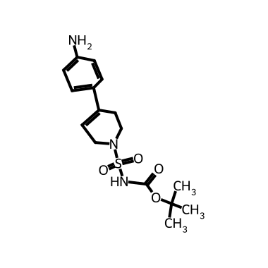 CC(C)(C)OC(=O)NS(=O)(=O)N1CC=C(c2ccc(N)cc2)CC1